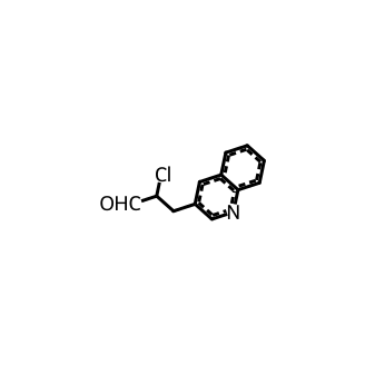 O=CC(Cl)Cc1cnc2ccccc2c1